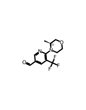 C[C@H]1COCCN1c1ncc(C=O)cc1C(F)(F)F